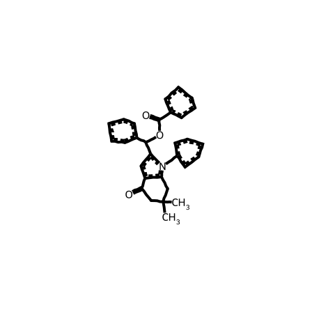 CC1(C)CC(=O)c2cc(C(OC(=O)c3ccccc3)c3ccccc3)n(-c3ccccc3)c2C1